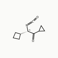 O=C=N[C@H](C(=O)C1CC1)C1CCC1